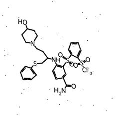 NC(=O)c1ccc(NC(CCN2CCC(O)CC2)CSc2ccccc2)c(S(=O)(=O)c2ccccc2S(=O)(=O)C(F)(F)F)c1